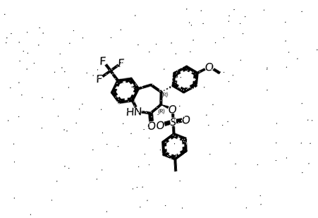 COc1ccc([C@H]2Cc3cc(C(F)(F)F)ccc3NC(=O)[C@@H]2OS(=O)(=O)c2ccc(C)cc2)cc1